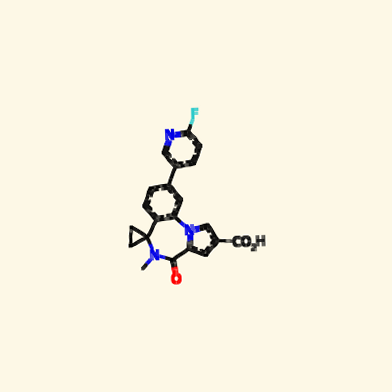 CN1C(=O)c2cc(C(=O)O)cn2-c2cc(-c3ccc(F)nc3)ccc2C12CC2